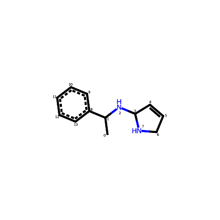 CC(NC1C=CCN1)c1ccccc1